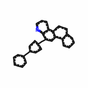 c1ccc(-c2ccc(-c3cc4c5ccccc5ccc4c4cccnc34)cc2)cc1